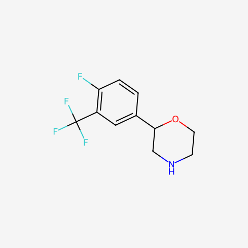 Fc1ccc(C2CNCCO2)cc1C(F)(F)F